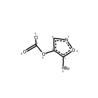 CCCCc1oncc1OC(=O)Cl